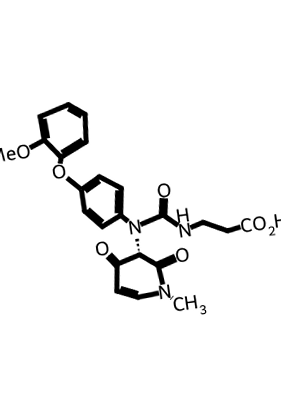 COc1ccccc1Oc1ccc(N(C(=O)NCCC(=O)O)[C@H]2C(=O)C=CN(C)C2=O)cc1